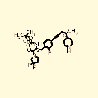 C[C@H](CC#Cc1ccc(C[C@H](NC(=O)OC(C)(C)C)C(=O)N2CCC(F)(F)C2)c(F)c1)C1CCNCC1